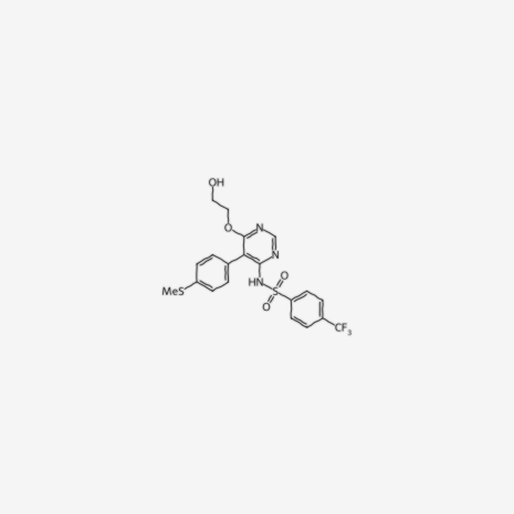 CSc1ccc(-c2c(NS(=O)(=O)c3ccc(C(F)(F)F)cc3)ncnc2OCCO)cc1